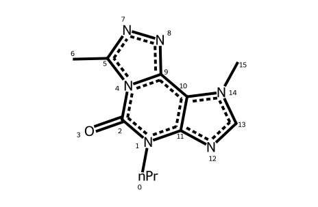 CCCn1c(=O)n2c(C)nnc2c2c1ncn2C